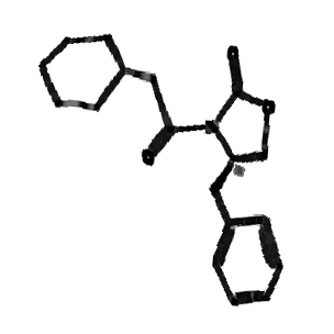 O=C(CC1CCCCC1)N1C(=O)OC[C@H]1Cc1ccccc1